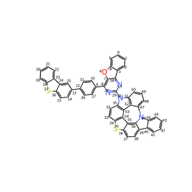 c1ccc2c(c1)oc1c(-c3ccc(-c4ccc5sc6ccccc6c5c4)cc3)nc(-n3c4ccc5sc6ccc7c8ccccc8n8c9cccc3c9c4c5c6c78)nc12